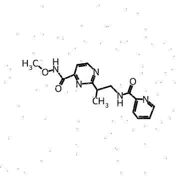 CONC(=O)c1ccnc(C(C)CNC(=O)c2ccccn2)n1